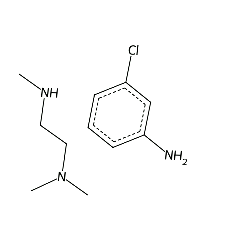 CNCCN(C)C.Nc1cccc(Cl)c1